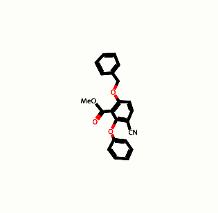 COC(=O)c1c(OCc2ccccc2)ccc(C#N)c1Oc1ccccc1